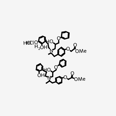 COC(=O)COc1ccc(CC(C)N(CCc2ccccc2O)CC(O)COc2ccccc2)cc1.COC(=O)COc1ccc(CC(C)N(CCc2ccccc2O)CC(O)COc2ccccc2)cc1.Cl.Cl.O